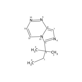 CCC(C)(C)c1ncc2nnccn12